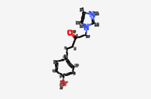 O=C(CCc1ccc(Br)cc1)Cn1ccnc1